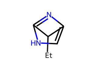 CCC1c2c[nH]c1n2